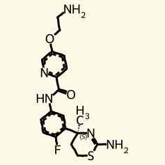 C[C@@]1(c2cc(NC(=O)c3ccc(OCCN)cn3)ccc2F)CCSC(N)=N1